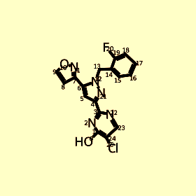 Oc1nc(-c2cc(-c3ccon3)n(Cc3ccccc3F)n2)ncc1Cl